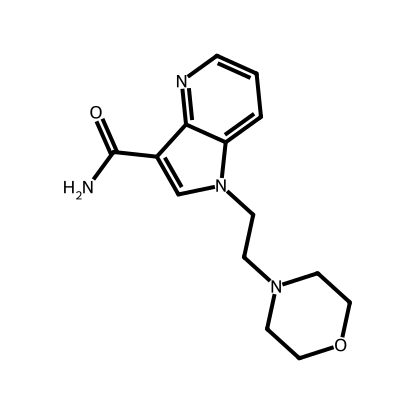 NC(=O)c1cn(CCN2CCOCC2)c2cccnc12